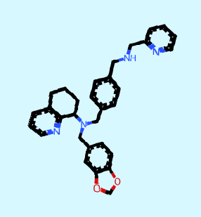 c1ccc(CNCc2ccc(CN(Cc3ccc4c(c3)OCO4)C3CCCc4cccnc43)cc2)nc1